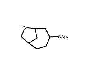 CNC1CCC2CNC(C2)C1